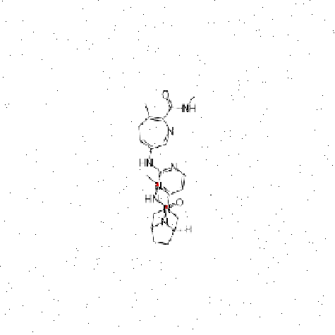 CCNC(=O)N1C2CC[C@@H]1CN(c1ccnc(NC3=CCC(C)=C(C(=O)NC)N=C3)n1)C2